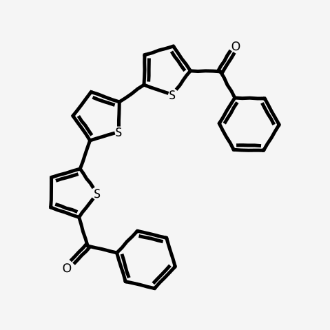 O=C(c1ccccc1)c1ccc(-c2ccc(-c3ccc(C(=O)c4ccccc4)s3)s2)s1